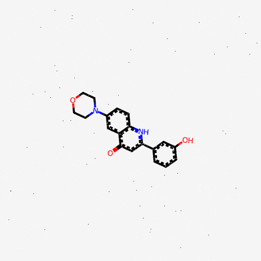 O=c1cc(-c2cccc(O)c2)[nH]c2ccc(N3CCOCC3)cc12